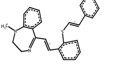 CN1CCN=C(/C=C/c2ccccc2S/C=C/c2ccccc2)c2ccccc21